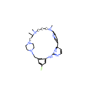 CC1CN2CCN(CC2)Cc2cc(F)cc(c2)Nc2nccc(n2)-c2ccc(nc2)N(C)CCCN1C